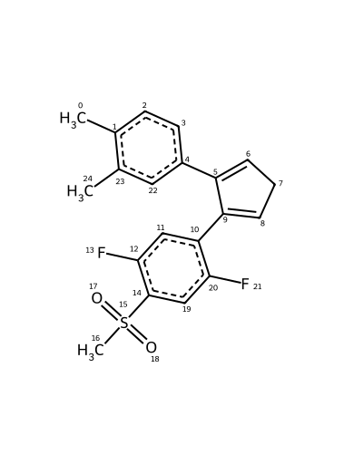 Cc1ccc(C2=CCC=C2c2cc(F)c(S(C)(=O)=O)cc2F)cc1C